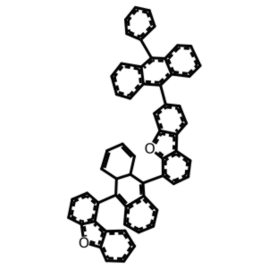 C1=CC2C(c3cccc4c3oc3cc(-c5c6ccccc6c(-c6ccccc6)c6ccccc56)ccc34)=c3ccccc3=C(c3cccc4oc5ccccc5c34)C2C=C1